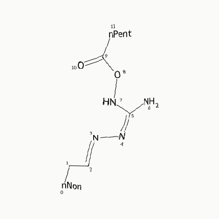 CCCCCCCCCCC=NN=C(N)NOC(=O)CCCCC